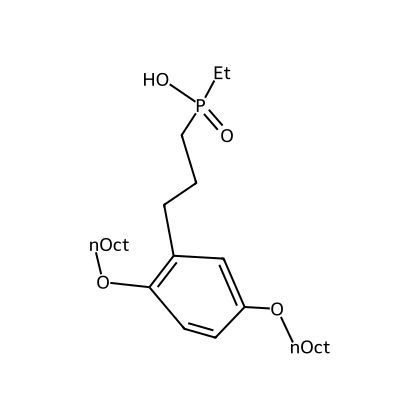 CCCCCCCCOc1ccc(OCCCCCCCC)c(CCCP(=O)(O)CC)c1